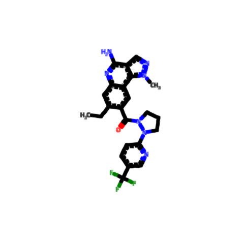 CCc1cc2nc(N)c3cnn(C)c3c2cc1C(=O)N1CCCN1c1ccc(C(F)(F)F)cn1